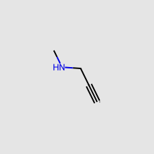 [C]#CCNC